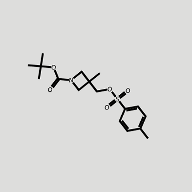 Cc1ccc(S(=O)(=O)OCC2(C)CN(C(=O)OC(C)(C)C)C2)cc1